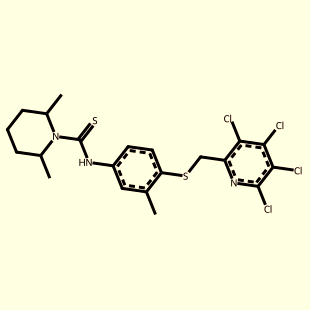 Cc1cc(NC(=S)N2C(C)CCCC2C)ccc1SCc1nc(Cl)c(Cl)c(Cl)c1Cl